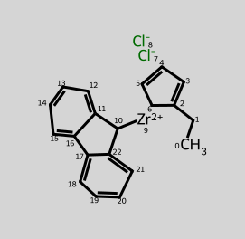 CCC1=CC=CC1.[Cl-].[Cl-].[Zr+2][CH]1c2ccccc2-c2ccccc21